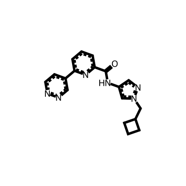 O=C(Nc1cnn(CC2CCC2)c1)c1cccc(-c2ccnnc2)n1